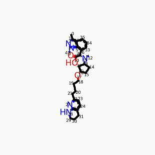 Cc1nn(C)c2c([C@@H](C(=O)O)N(C)[C@H]3CC[C@H](OCCCCc4ccc5c(n4)NCCC5)C3)cccc12